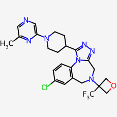 Cc1cncc(N2CCC(c3nnc4n3-c3ccc(Cl)cc3CN(C3(C(F)(F)F)COC3)C4)CC2)n1